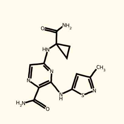 Cc1cc(Nc2nc(NC3(C(N)=O)CC3)cnc2C(N)=O)sn1